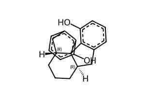 Oc1cccc2c1C13c4c(O)cccc4C[C@H]1CCC[C@@H]3C2